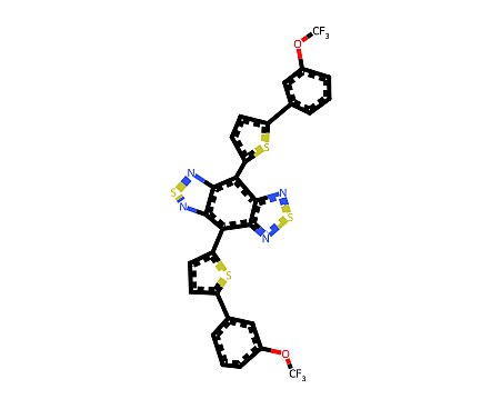 FC(F)(F)Oc1cccc(-c2ccc(-c3c4c(c(-c5ccc(-c6cccc(OC(F)(F)F)c6)s5)c5nsnc35)N=S=N4)s2)c1